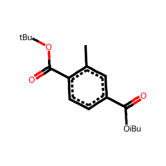 Cc1cc(C(=O)OCC(C)C)ccc1C(=O)OC(C)(C)C